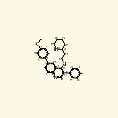 COc1ccc(-c2ccc3ncc(-c4ccccc4)c(OCCC4CCCCN4)c3c2)cc1